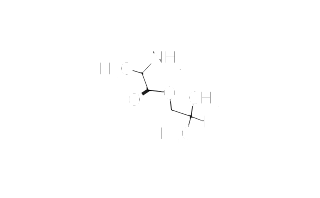 CC(N)C(=O)OCC(C)(C)I